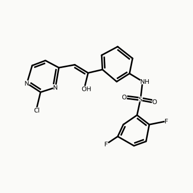 O=S(=O)(Nc1cccc(C(O)=Cc2ccnc(Cl)n2)c1)c1cc(F)ccc1F